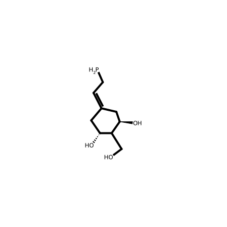 OCC1[C@H](O)CC(=CCP)C[C@H]1O